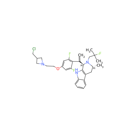 C=C(c1c(F)cc(OCCN2CC(CCl)C2)cc1F)[C@@H]1c2[nH]c3ccccc3c2C[C@@H](C)N1CC(C)(C)F